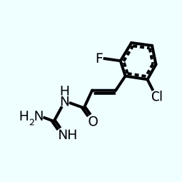 N=C(N)NC(=O)C=Cc1c(F)cccc1Cl